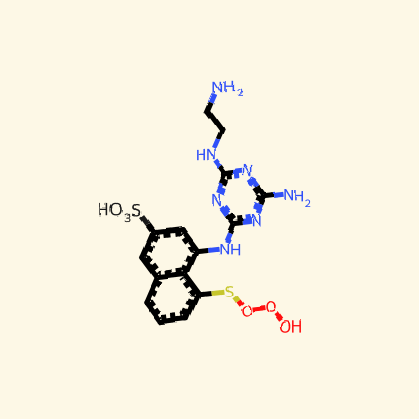 NCCNc1nc(N)nc(Nc2cc(S(=O)(=O)O)cc3cccc(SOOO)c23)n1